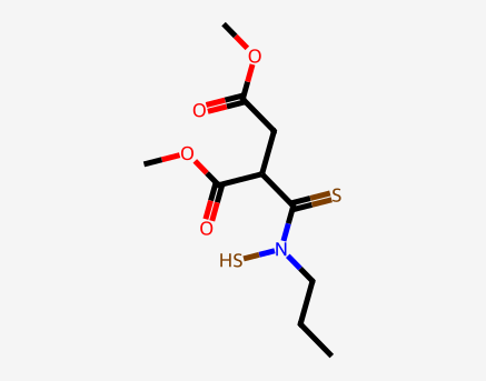 CCCN(S)C(=S)C(CC(=O)OC)C(=O)OC